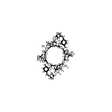 CC(C)C[C@H]1C(=O)O[C@H](Cc2ccc(Cn3cncn3)cc2)C(=O)N(C)[C@@H](CC(C)C)C(=O)O[C@H](C)C(=O)N(C)[C@@H](CC(C)C)C(=O)O[C@H](Cc2ccc(Cn3cncn3)cc2)C(=O)N(C)[C@@H](CC(C)C)C(=O)O[C@H](C)C(=O)N1C